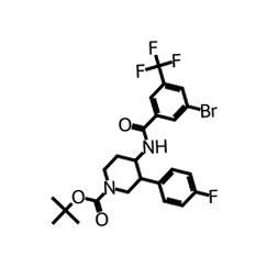 CC(C)(C)OC(=O)N1CCC(NC(=O)c2cc(Br)cc(C(F)(F)F)c2)C(c2ccc(F)cc2)C1